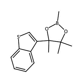 CB1OC(C)(C)C(C)(c2csc3ccccc23)O1